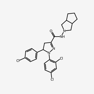 O=C(NN1CC2CCCC2C1)C1=NN(c2ccc(Cl)cc2Cl)C(c2ccc(Cl)cc2)C1